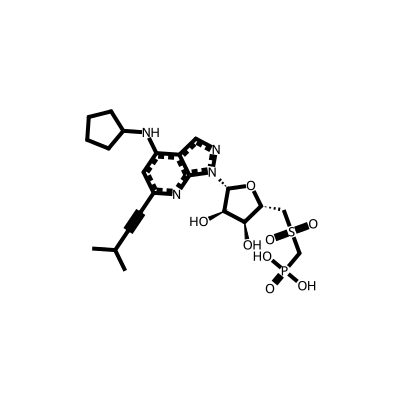 CC(C)C#Cc1cc(NC2CCCC2)c2cnn([C@@H]3O[C@H](CS(=O)(=O)CP(=O)(O)O)[C@@H](O)[C@H]3O)c2n1